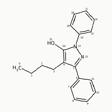 CCCCc1c(-c2ccccc2)nn(-c2ccccc2)c1O